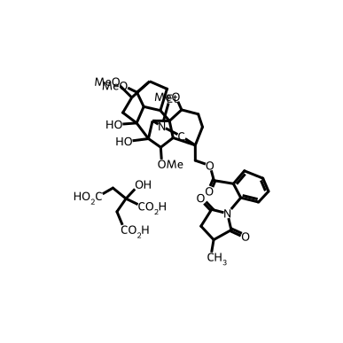 CCN1CC2(COC(=O)c3ccccc3N3C(=O)CC(C)C3=O)CCC(OC)C34C5CC6C(OC)CC(O)(C5C6OC)C(O)(C(OC)C23)C14.O=C(O)CC(O)(CC(=O)O)C(=O)O